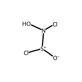 [O-][S+](Cl)N(O)Cl